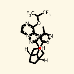 Cc1cc(N2C[C@H]3CC[C@@H](C2)C3Nc2nc3c(OC(C(F)(F)F)C(F)(F)F)nccn3n2)sn1